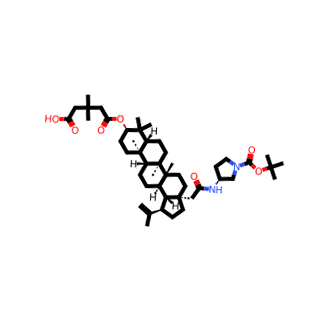 C=C(C)[C@@H]1CC[C@]2(CC(=O)N[C@@H]3CCN(C(=O)OC(C)(C)C)C3)CC[C@]3(C)[C@H](CC[C@@H]4[C@@]5(C)CC[C@H](OC(=O)CC(C)(C)CC(=O)O)C(C)(C)[C@@H]5CC[C@]43C)[C@@H]12